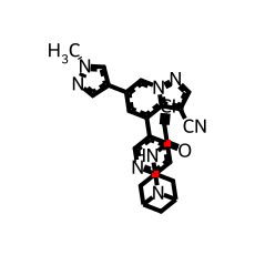 C#CC(=O)NC1CC2CC(C1)N2c1ccc(-c2cc(-c3cnn(C)c3)cn3ncc(C#N)c23)cn1